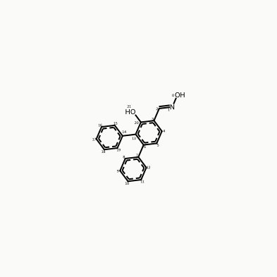 ON=Cc1ccc(-c2ccccc2)c(-c2ccccc2)c1O